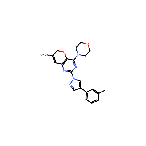 Cc1cccc(-c2cnn(-c3nc4c(c(N5CCOCC5)n3)OCC(C=O)=C4)c2)c1